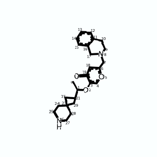 CC(Oc1coc(CN2CCc3ccccc3C2)cc1=O)C1CC2(CCNCC2)C1